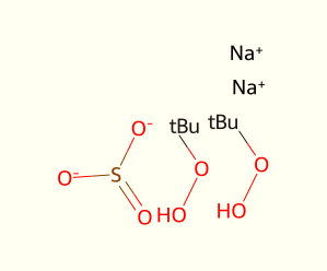 CC(C)(C)OO.CC(C)(C)OO.O=S([O-])[O-].[Na+].[Na+]